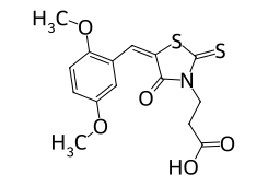 COc1ccc(OC)c(C=C2SC(=S)N(CCC(=O)O)C2=O)c1